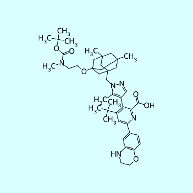 Cc1c(-c2c(C(C)(C)C)cc(-c3ccc4c(c3)NCCO4)nc2C(=O)O)cnn1CC12CC3(C)CC(C)(C1)CC(OCCN(C)C(=O)OC(C)(C)C)(C3)C2